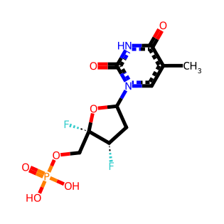 Cc1cn(C2C[C@H](F)[C@@](F)(COP(=O)(O)O)O2)c(=O)[nH]c1=O